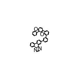 c1cc(-c2ccc3c4ccccc4c4nccnc4c3c2)cc(-c2cccc3c2oc2c3ccc3oc4ccccc4c32)c1